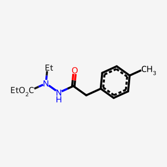 CCOC(=O)N(CC)NC(=O)Cc1ccc(C)cc1